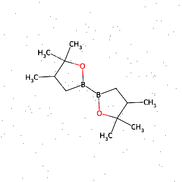 CC1CB(B2CC(C)C(C)(C)O2)OC1(C)C